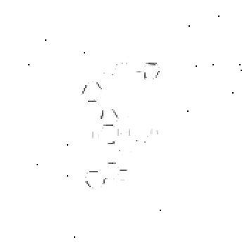 CCN(CCOc1cccc(-c2cc(C(C)C)c(NC(=O)N(CCCC(C)C)c3cc4cccnc4[nH]c3=O)c(C(C)C)c2)c1)Cc1ccccc1